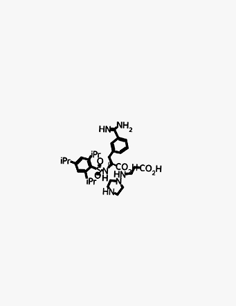 CC(C)c1cc(C(C)C)c(S(=O)(=O)N[C@@H](Cc2cccc(C(=N)N)c2)C(=O)O)c(C(C)C)c1.O=C(O)CCNN1CCNCC1